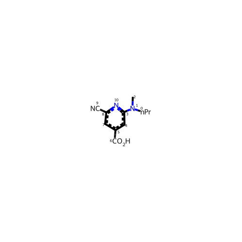 CCCN(C)c1cc(C(=O)O)cc(C#N)n1